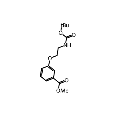 COC(=O)c1cccc(OCCNC(=O)OC(C)(C)C)c1